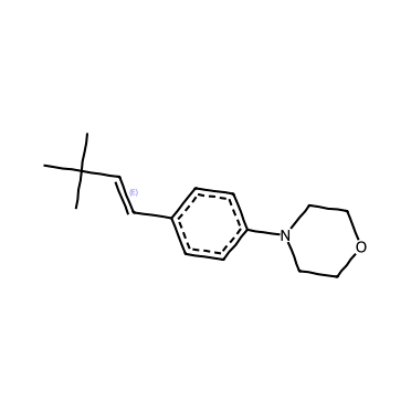 CC(C)(C)/C=C/c1ccc(N2CCOCC2)cc1